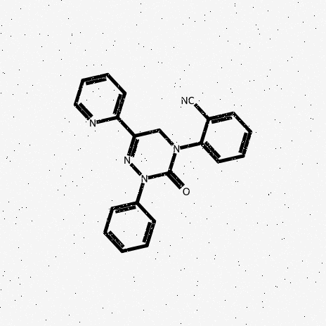 N#Cc1ccccc1N1CC(c2ccccn2)=NN(c2ccccc2)C1=O